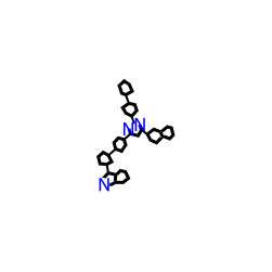 c1ccc(-c2ccc(-c3nc(-c4ccc(-c5cccc(-c6cncc7ccccc67)c5)cc4)cc(-c4ccc5ccccc5c4)n3)cc2)cc1